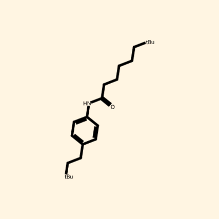 CC(C)(C)CCCCCC(=O)Nc1ccc(CCC(C)(C)C)cc1